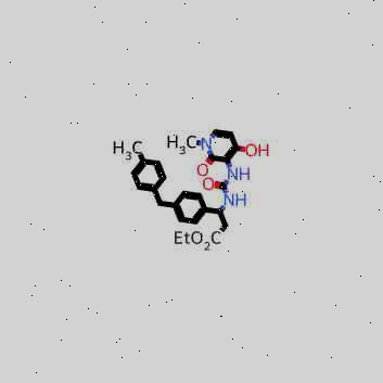 CCOC(=O)CC(NC(=O)Nc1c(O)ccn(C)c1=O)c1ccc(Cc2ccc(C)cc2)cc1